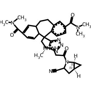 C[C@H](CC1(c2nnn[nH]2)c2ccc(C(=O)N(C)C)cc2CCC2C=C(C(=O)N(C)C)C=CC21)NCC(=O)N1C(C#N)C[C@@H]2C[C@@H]21